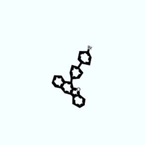 Brc1ccc(-c2ccc(-c3c4ccccc4cc4c3oc3ccccc34)cc2)cc1